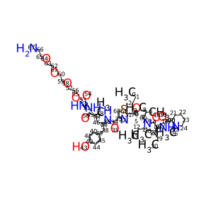 CCCO[C@H](C[C@H](C(C)C)N(CCC)C(=O)[C@@H](NC(=O)[C@H]1CCCCN1C)[C@@H](C)CC)c1nc(C(=O)N[C@@H](Cc2ccc(O)cc2)C[C@H](C)C(=O)NNC(=O)OCCOCCOCCOCCN)cs1